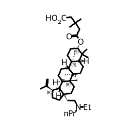 C=C(C)[C@@H]1CC[C@]2(CCN(CC)CCC)CC[C@]3(C)[C@H](CC[C@@H]4[C@@]5(C)CC[C@H](OC(=O)CC(C)(C)CC(=O)O)C(C)(C)[C@@H]5CC[C@]43C)[C@@H]12